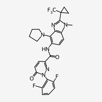 Cn1c(C2(C(F)(F)F)CC2)nc2c(N3CCCC3)c(NC(=O)c3ccc(=O)n(-c4c(F)cccc4F)n3)ccc21